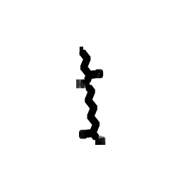 CCC(=O)CCCCCNC(=O)CCI